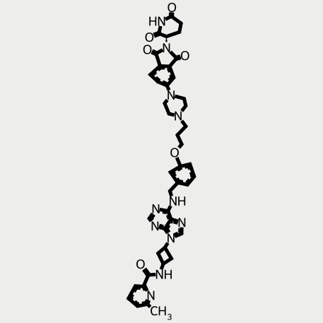 Cc1cccc(C(=O)NC2CC(n3cnc4c(NCc5cccc(OCCCN6CCN(c7ccc8c(c7)C(=O)N([C@H]7CCC(=O)NC7=O)C8=O)CC6)c5)ncnc43)C2)n1